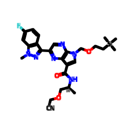 C[C@@H](COCC#N)NC(=O)c1cn(COCC[Si](C)(C)C)c2ncc(-c3nn(C)c4cc(F)ccc34)nc12